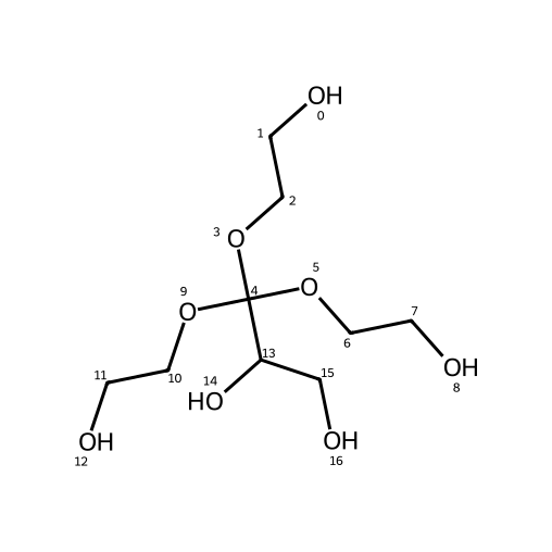 OCCOC(OCCO)(OCCO)C(O)CO